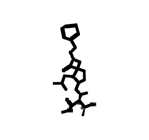 CNC(=O)[C@H]([C@@H](C)O)N(C)CC1CCC2(CN(OCc3ccccc3)C2=O)N1CC(C)C